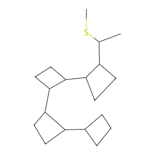 CSC(C)C1CCC1C1CCC1C1CCC1C1CCC1